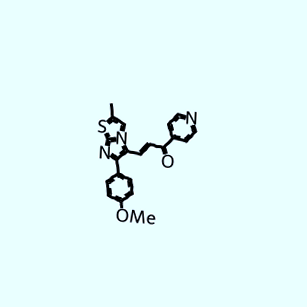 COc1ccc(-c2nc3sc(C)cn3c2/C=C/C(=O)c2ccncc2)cc1